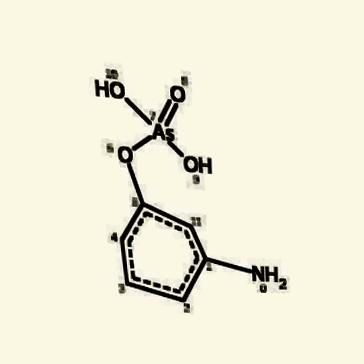 Nc1cccc(O[As](=O)(O)O)c1